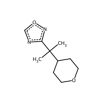 CC(C)(c1ncon1)C1CCOCC1